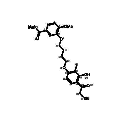 CNC(=O)c1ccc(OC)c(OCCCCOc2ccc(C(=O)CC(C)(C)C)c(O)c2C)c1